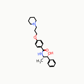 C[C@H](NC(=O)c1ccc(OCCCN2CCCCC2)cc1)[C@H](O)c1ccccc1